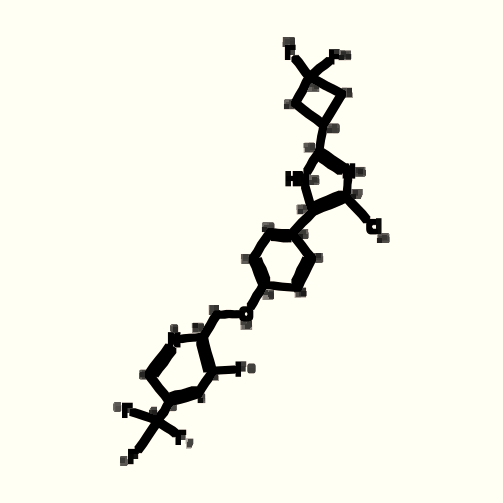 Fc1cc(C(F)(F)F)cnc1COc1ccc(-c2[nH]c(C3CC(F)(F)C3)nc2Cl)cc1